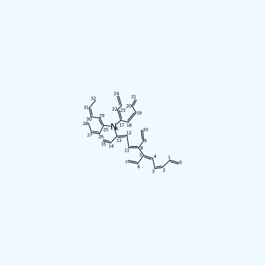 C=C\C=C/C=C(C=C)/C(C=C)=C/C=C(\C=C)N(C(/C=C\C=C)=C/C=C)C(/C=C\C)=C/C=C\C